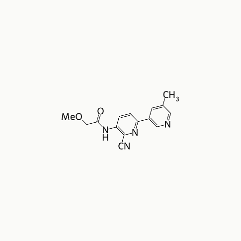 COCC(=O)Nc1ccc(-c2cncc(C)c2)nc1C#N